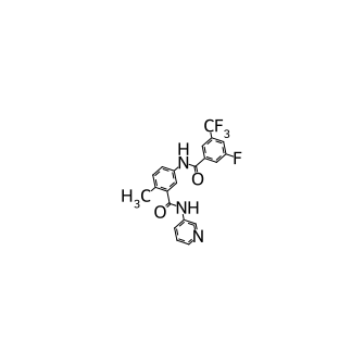 Cc1ccc(NC(=O)c2cc(F)cc(C(F)(F)F)c2)cc1C(=O)Nc1cccnc1